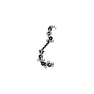 CC1CN(c2ccc(C(=O)NCc3ccc4c(c3)CN(C3CCC(=O)NC3=O)C4=O)nn2)CC(C)N1CCCCCCCCC(=O)Nc1cccc(Sc2cnc(N3CCC(C)(N)CC3)cn2)c1